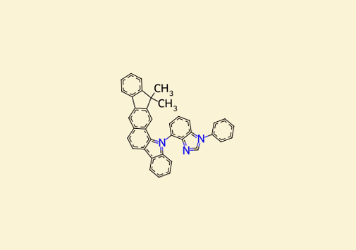 CC1(C)c2ccccc2-c2cc3ccc4c5ccccc5n(-c5cccc6c5ncn6-c5ccccc5)c4c3cc21